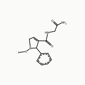 NC(=O)CNC(=O)C1=CCN(SI)C1c1ccccc1